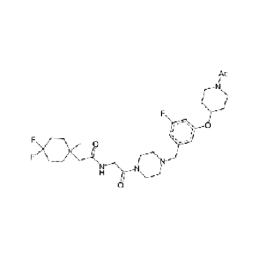 CC(=O)N1CCC(Oc2cc(F)cc(CN3CCN(C(=O)CNC(=O)CC4(C)CCC(F)(F)CC4)CC3)c2)CC1